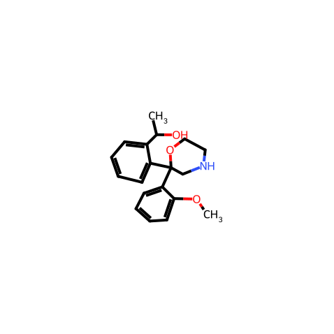 COc1ccccc1C1(c2ccccc2C(C)O)CNCCO1